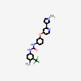 Cc1ccc(NC(=O)Nc2cccc(Oc3ccnc(-c4ccn(C)c4)c3)c2)cc1C(F)(F)F